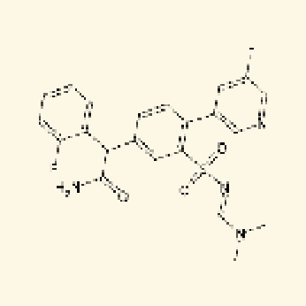 CN(C)C=NS(=O)(=O)c1cc(C(C(N)=O)c2ccccc2F)ccc1-c1cncc(F)c1